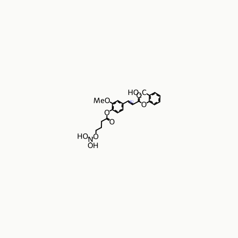 COc1cc(/C=C/C(=O)Oc2ccccc2C(=O)O)ccc1OC(=O)CCCON(O)O